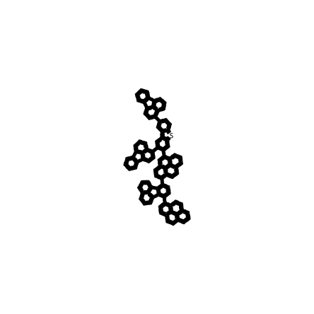 c1ccc2c(c1)-c1cccc3c(-c4ccc5sc6cc(-c7cc8ccc(-c9ccc(-c%10ccc%11ccc%12cccc%13ccc%10c%11c%12%13)c%10c9-c9cccc%11cccc-%10c9%11)c9ccc%10cccc7c%10c89)c(-c7ccc8c9c(cccc79)-c7ccccc7-8)cc6c5c4)ccc-2c13